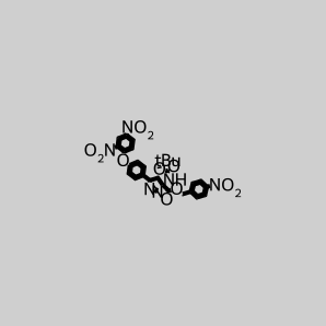 CC(C)(C)OC(=O)NC1(C(=O)OCc2ccc([N+](=O)[O-])cc2)CC(c2ccc(Oc3ccc([N+](=O)[O-])cc3[N+](=O)[O-])cc2)N=N1